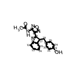 CC(=O)Nc1nonc1C1=Nc2ccccc2C1Cc1ccc(O)cc1